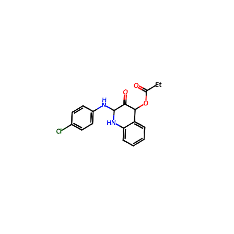 CCC(=O)OC1C(=O)C(Nc2ccc(Cl)cc2)Nc2ccccc21